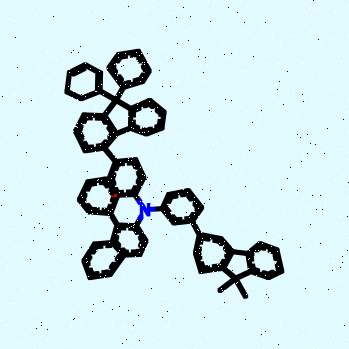 CC1(C)c2ccccc2-c2cc(-c3cccc(N(c4ccc(-c5cccc6c5-c5ccccc5C6(C5=CC=CCC5)c5ccccc5)cc4)c4ccc5ccccc5c4-c4ccccc4)c3)ccc21